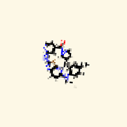 CC(=O)NC1CCN(C(=O)c2ccnc(Nc3nc4ccc(N(C)c5ccc(C)cc5)nc4s3)c2)C1